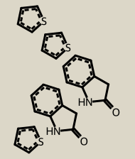 O=C1Cc2ccccc2N1.O=C1Cc2ccccc2N1.c1ccsc1.c1ccsc1.c1ccsc1